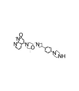 C[C@@H]1CN(c2cc(=O)n(C)c3ncccc23)C[C@H](CN2CC(c3ccc(N4CCNCC4)cc3)C2)O1